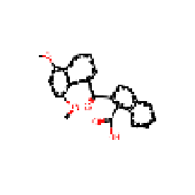 COc1ccc(OC)c2c(C(=O)c3ccc4ccccc4c3C(=O)O)cccc12